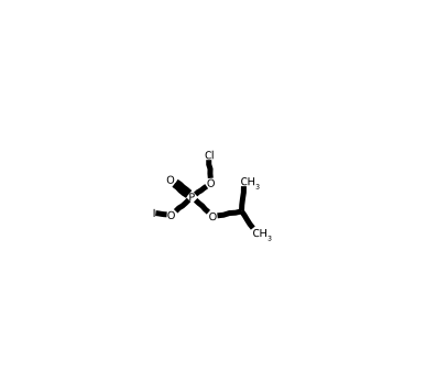 CC(C)OP(=O)(OCl)OI